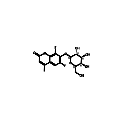 Cc1cc(=O)oc2c(F)c(O[C@@H]3O[C@H](CO)[C@H](O)[C@H](O)[C@H]3O)c(F)cc12